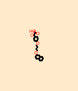 O=C(O)C(=O)c1ccc(OCCCCOc2ccc3ccccc3c2)cc1